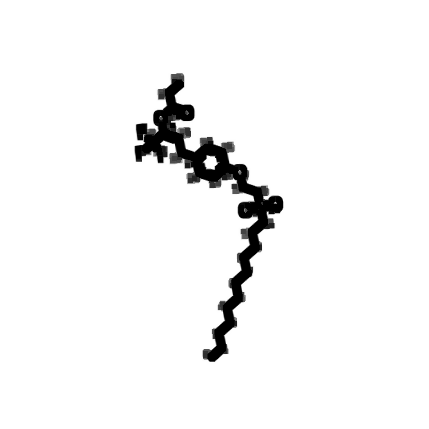 CCCCCCCCCCCCS(=O)(=O)CCOc1ccc(C/C=C(/OC(=O)CC)C(F)(F)F)cc1